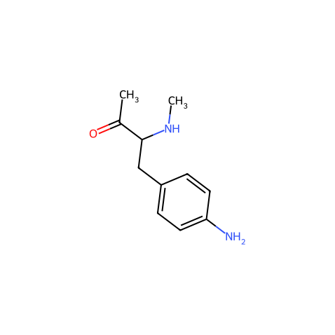 CNC(Cc1ccc(N)cc1)C(C)=O